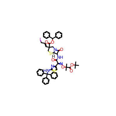 CC(C)(C)OC(=O)C(C)(C)ON=C(C(=O)NC1C(=O)N2CC(C=CCI)(C(=O)OC(c3ccccc3)c3ccccc3)CS[C@H]12)c1csc(NC(c2ccccc2)(c2ccccc2)c2ccccc2)n1